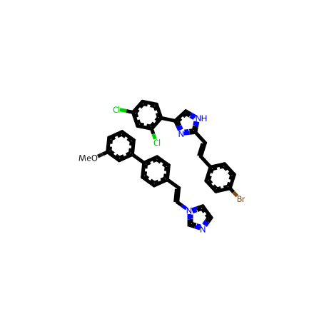 COc1cccc(-c2ccc(C=Cn3ccnc3)cc2)c1.Clc1ccc(-c2c[nH]c(C=Cc3ccc(Br)cc3)n2)c(Cl)c1